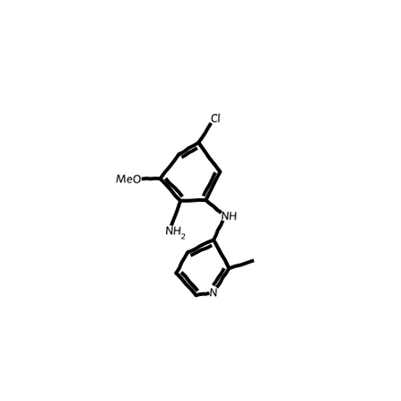 COc1cc(Cl)cc(Nc2cccnc2C)c1N